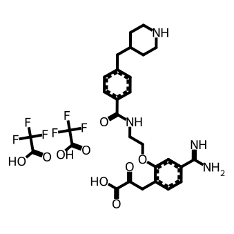 N=C(N)c1ccc(CC(=O)C(=O)O)c(OCCNC(=O)c2ccc(CC3CCNCC3)cc2)c1.O=C(O)C(F)(F)F.O=C(O)C(F)(F)F